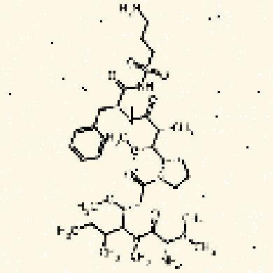 CC[C@H](C)[C@@H]([C@@H](CC(=O)N1CCC[C@H]1[C@H](OC)[C@@H](C)C(=O)N[C@@H](Cc1ccccc1)C(=O)NS(=O)(=O)CCCN)OC)N(C)C(=O)[C@@H](N)C(C)C